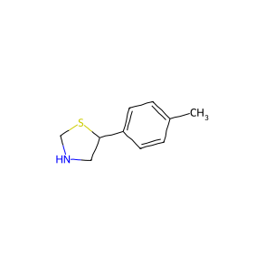 Cc1ccc(C2CNCS2)cc1